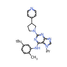 Cc1ccc(C(C)(C)C)cc1Nc1nc(N2CCC(c3ccncc3)C2)nc2ncn(C(C)C)c12